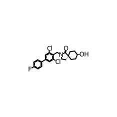 O=C1N(Cc2c(Cl)cc(-c3ccc(F)cc3)cc2Cl)CC[C@]12CC[C@H](O)CC2